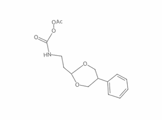 CC(=O)OOC(=O)NCCC1OCC(c2ccccc2)CO1